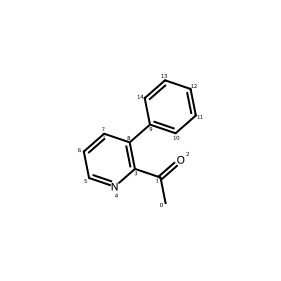 CC(=O)c1ncc[c]c1-c1ccccc1